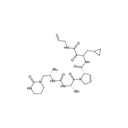 C=CCNC(=O)C(=O)C(CC1CC1)NC(=O)[C@@H]1C=CCN1C(=O)[C@@H](NC(=O)N[C@H](CN1CCCNC1=O)C(C)(C)C)C(C)(C)C